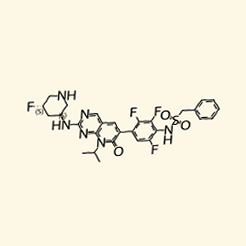 CC(C)n1c(=O)c(-c2cc(F)c(NS(=O)(=O)Cc3ccccc3)c(F)c2F)cc2cnc(N[C@@H]3CNC[C@@H](F)C3)nc21